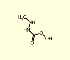 CNNC(=O)OO